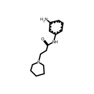 Nc1cccc(NC(=O)CCN2CCCCC2)c1